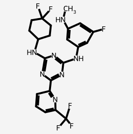 CNc1cc(F)cc(Nc2nc(NC3CCC(F)(F)CC3)nc(-c3cccc(C(F)(F)F)n3)n2)c1